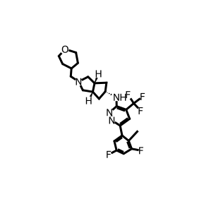 Cc1c(F)cc(F)cc1-c1cc(C(F)(F)F)c(N[C@@H]2C[C@@H]3CN(CC4CCOCC4)C[C@@H]3C2)nn1